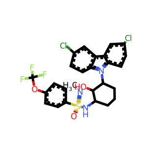 CN=S(=O)(NC1CCCC(n2c3ccc(Cl)cc3c3cc(Cl)ccc32)C1O)c1ccc(OC(F)(F)F)cc1